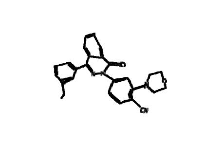 Cc1cccc(-c2nn(-c3ccc(C#N)c(N4CCOCC4)c3)c(=O)c3ccccc23)c1